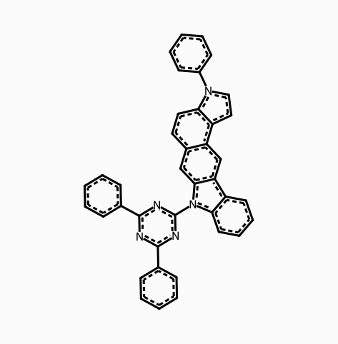 c1ccc(-c2nc(-c3ccccc3)nc(-n3c4ccccc4c4cc5c(ccc6c5ccn6-c5ccccc5)cc43)n2)cc1